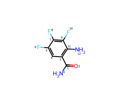 NC(=O)c1cc(F)c(F)c(F)c1N